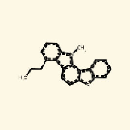 CCCc1cccc2c1c1ccc3sc4ccccc4c3c1n2C